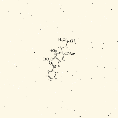 C=C(C)CCc1c(OC)cc(CC(=O)c2ccccc2)c(C(=O)OCC)c1O